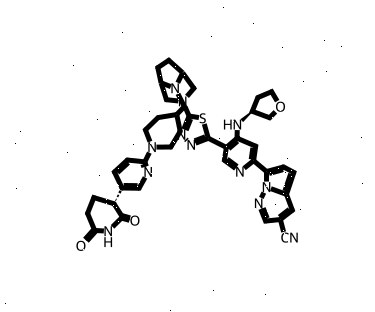 N#Cc1cnn2c(-c3cc(N[C@H]4CCOC4)c(-c4nnc(N5CC6CCC(C5)N6CC5CCN(c6ccc([C@H]7CCC(=O)NC7=O)cn6)CC5)s4)cn3)ccc2c1